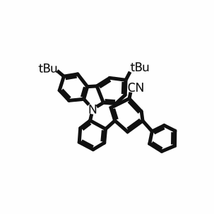 CC(C)(C)c1ccc2c(c1)c1cc(C(C)(C)C)ccc1n2-c1ccccc1-c1cc(C#N)cc(-c2ccccc2)c1